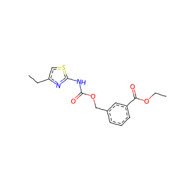 CCOC(=O)c1cccc(COC(=O)Nc2nc(CC)cs2)c1